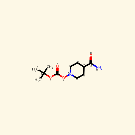 CC(C)(C)OC(=O)ON1CCC(C(N)=O)CC1